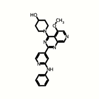 COc1cncc2nc(-c3ccnc(Nc4ccccc4)c3)nc(N3CCC(O)CC3)c12